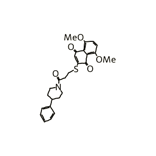 COc1ccc(OC)c2c1C(=O)C=C(SCCC(=O)N1CCC(c3ccccc3)CC1)C2=O